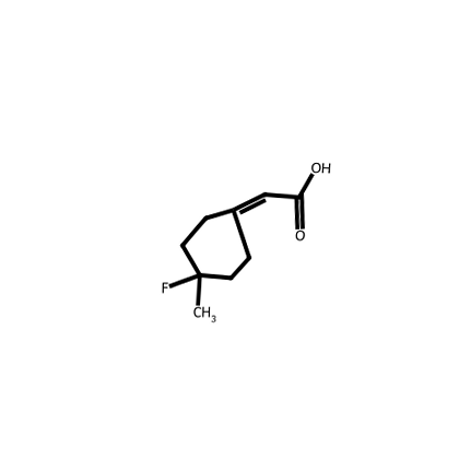 CC1(F)CCC(=CC(=O)O)CC1